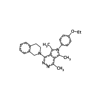 CCOc1ccc(-n2c(C)c3c(C)nnc(N4CCc5ccccc5C4)c3c2C)cc1